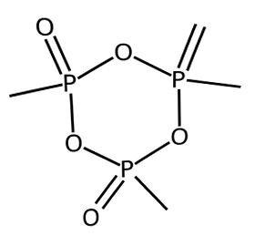 C=P1(C)OP(C)(=O)OP(C)(=O)O1